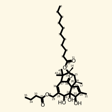 CCCCCCCCCCC(=O)O[C@]1(C)C[C@@H](C)C23C=C(C)C(O)C2(O)C(O)C(COC(=O)CCC)=CC(C3=O)C1(C)C